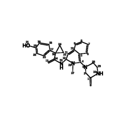 C=C1CN(C2=c3ccccc3=CC(NC(=C)C3(c4ccc(O)cc4)CC3)N2C)CCN1